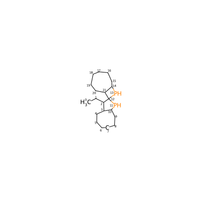 CCC1C2CCCCCCC2PC12PC1CCCCCCC12